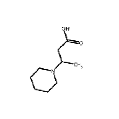 CC(CC(=O)O)N1CCCCC1